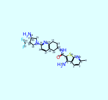 Cc1ccc2c(N)c(C(=O)N[C@H]3CCc4nc(N5C[C@H](C(F)F)[C@@H](N)C5)ccc4C3)sc2n1